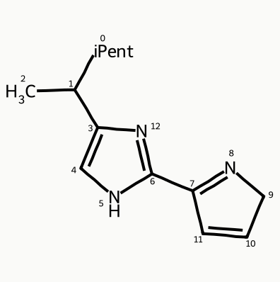 CCCC(C)C(C)c1c[nH]c(C2=NCC=C2)n1